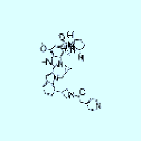 COc1cc(C(=O)N2C[C@H]3CC[C@@H]2[C@@H]3N)cc2nc(-c3cc4cccc(C5CN(C(=O)Cc6ccncc6)C5)c4n3CC3CC3)n(C)c12